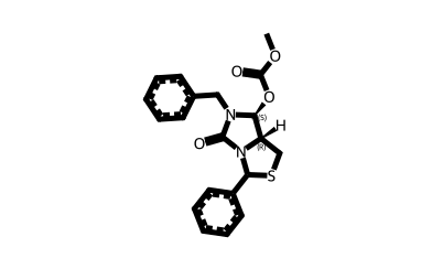 COC(=O)O[C@H]1[C@@H]2CSC(c3ccccc3)N2C(=O)N1Cc1ccccc1